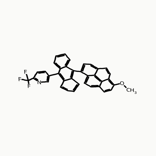 COc1ccc2ccc3c(-c4c5ccccc5c(-c5ccc(C(F)(F)F)nc5)c5ccccc45)ccc4ccc1c2c43